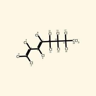 ClC(Cl)=C(Cl)/C(Cl)=C(\Cl)C(Cl)(Cl)C(Cl)(Cl)C(Cl)(Cl)C(Cl)(Cl)Cl